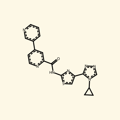 O=C(Nc1nc(-c2nncn2C2CC2)cs1)c1cc(-c2cccnc2)ccn1